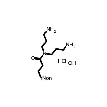 CCCCCCCCCCCC(=O)N(CCCN)CCCN.Cl.Cl